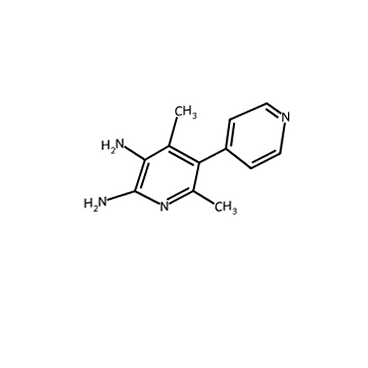 Cc1nc(N)c(N)c(C)c1-c1ccncc1